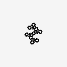 c1ccc2c(c1)c1cc3c4cccc5c6ccccc6n(c54)c3c3c4cc5c(cc4n2c13)c1c2c(cc3c4cccc6c7ccccc7n(c64)c31)c1ccccc1n52